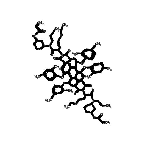 C=CC(=O)OC1CCCC(N(CCC)C(=O)C(CCOCC)N2C(=O)c3cc(Oc4ccc(C)cc4C)c4c5c(Oc6ccc(C)cc6C)cc6c7c(cc(Oc8ccc(C)cc8C)c(c8c(Oc9ccc(C)cc9C)cc(c3c48)C2=O)c75)C(=O)N(C(CCOCC)C(=O)N(CCC)C2CCCC(OC(=O)C=C)C2)C6=O)C1